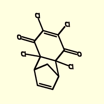 O=C1C(Cl)=C(Cl)C(=O)C2(Cl)C3C=CC(C3)C12Cl